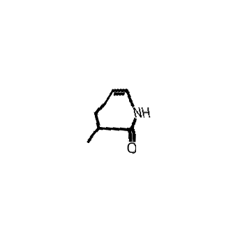 CC1CC=CNC1=O